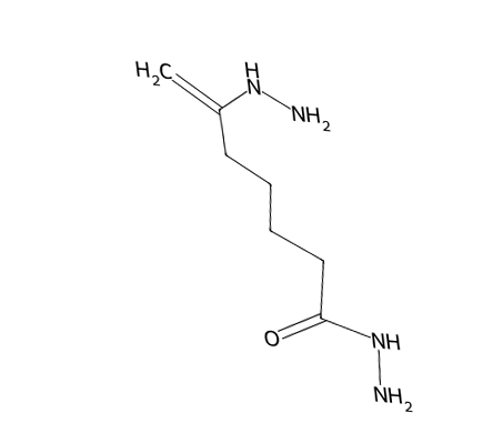 C=C(CCCCC(=O)NN)NN